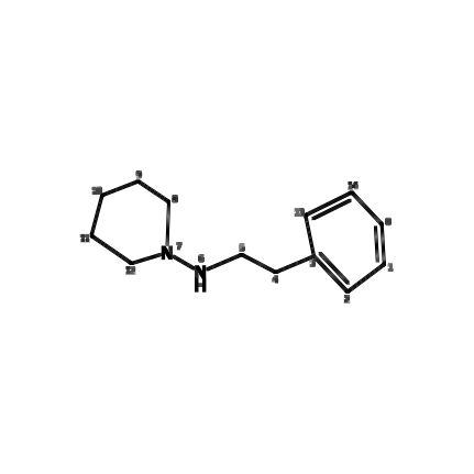 c1ccc(CCNN2CCCCC2)cc1